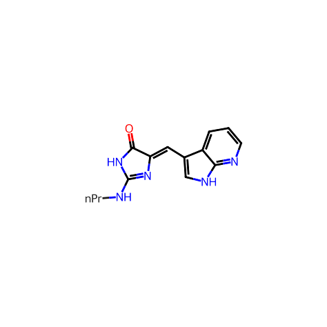 CCCNC1=NC(=Cc2c[nH]c3ncccc23)C(=O)N1